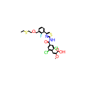 CCSCCOCc1cccc(-c2csc(NC(=O)c3cc(Cl)c(/C=C(/OC)C(=O)O)c(Cl)c3)n2)c1F